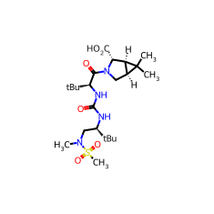 CN(C[C@@H](NC(=O)N[C@H](C(=O)N1C[C@H]2[C@@H]([C@H]1C(=O)O)C2(C)C)C(C)(C)C)C(C)(C)C)S(C)(=O)=O